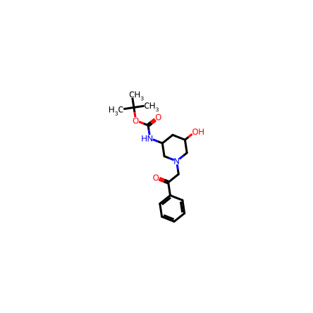 CC(C)(C)OC(=O)NC1CC(O)CN(CC(=O)c2ccccc2)C1